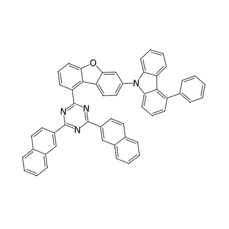 c1ccc(-c2cccc3c2c2ccccc2n3-c2ccc3c(c2)oc2cccc(-c4nc(-c5ccc6ccccc6c5)nc(-c5ccc6ccccc6c5)n4)c23)cc1